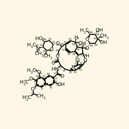 COc1c(OC(C)C)cc2cc(O)c(C(=O)NC3Cc4ccc(c(Cl)n4)O[C@H]4C=C5C#CC(=C[C@@H]6O[C@]56[C@@H]4O[C@H]4C[C@@](C)(O)[C@@H](O)[C@H](C)O4)C(O[C@H]4C[C@H](O)[C@H](N(C)C)[C@H](C)O4)COC3=O)cc2c1OC